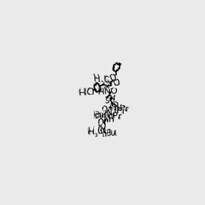 CCCCN(C)CC(=O)N[C@H](C(=O)N(CCC)[C@H](C[C@@H](OCCC)c1nc(C(=O)N[C@@H](Cc2ccc(O)cc2)C[C@H](C)C(=O)OCc2ccccc2)cs1)C(C)C)[C@@H](C)CC